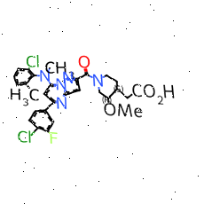 CO[C@H]1CN(C(=O)c2cc3nc(-c4ccc(Cl)c(F)c4)cc(N(C)c4c(C)cccc4Cl)n3n2)CC[C@H]1CC(=O)O